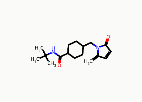 C=C1C=CC(=O)N1CC1CCC(C(=O)NC(C)(C)C)CC1